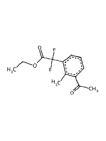 CCOC(=O)C(F)(F)c1cccc(C(C)=O)c1C